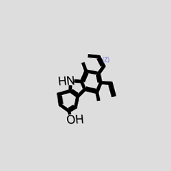 C=Cc1c(/C=C\C)c(C)c2[nH]c3ccc(O)cc3c2c1C